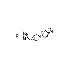 c1cn2nc(N3CCN(Cc4nc(C5CC5)no4)CC3)ccc2n1